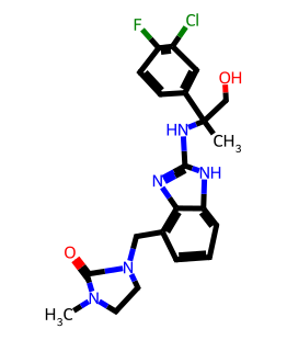 CN1CCN(Cc2cccc3[nH]c(NC(C)(CO)c4ccc(F)c(Cl)c4)nc23)C1=O